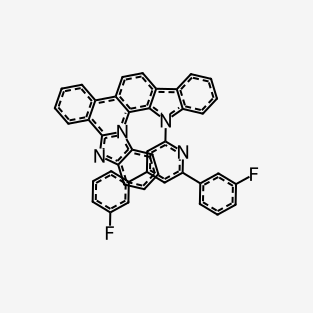 Fc1cccc(-c2cc(-c3cccc(F)c3)nc(-n3c4ccccc4c4ccc5c6ccccc6c6nc7ccccc7n6c5c43)c2)c1